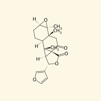 C[C@]12[C@@H]3[C@@H](c4ccoc4)OC(=O)[C@@]31C(=O)C[C@]1(C)[C@@H]2CC[C@H]2O[C@]21C